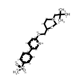 CC(C)(O)CN1CCC(COc2ccc(-c3ccc(S(C)(=O)=O)cc3)cn2)CC1